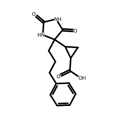 O=C1NC(=O)C(CCCc2ccccc2)(C2CC2C(=O)O)N1